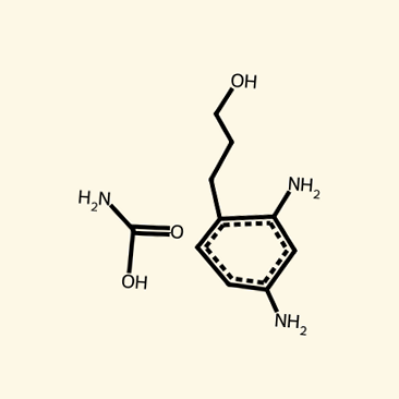 NC(=O)O.Nc1ccc(CCCO)c(N)c1